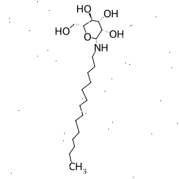 CCCCCCCCCCCCCCN[C@@H]1O[C@H](CO)[C@@H](O)[C@H](O)[C@@H]1O